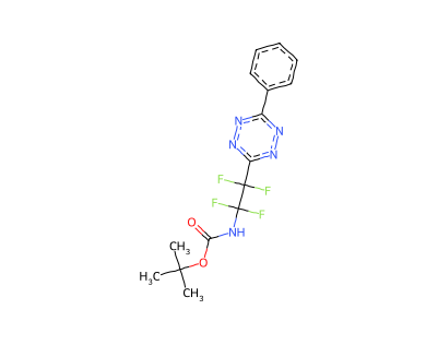 CC(C)(C)OC(=O)NC(F)(F)C(F)(F)c1nnc(-c2ccccc2)nn1